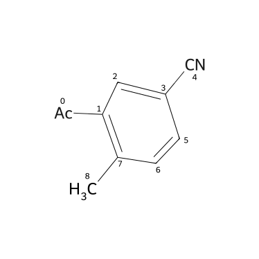 CC(=O)c1cc(C#N)ccc1C